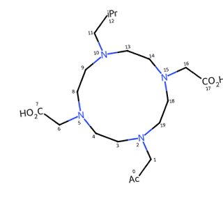 CC(=O)CN1CCN(CC(=O)O)CCN(CC(C)C)CCN(CC(=O)O)CC1